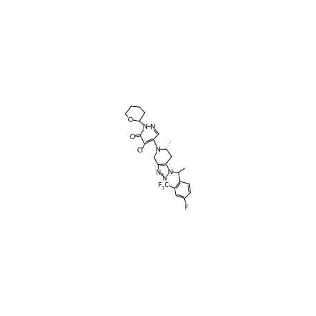 CC(c1ccc(F)cc1C(F)(F)F)n1nnc2c1C[C@@H](C)N(c1cnn(C3CCCCO3)c(=O)c1Cl)C2